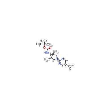 CC(C)(C)OC(=O)NC1[C@]2(C)CN(c3ncc(C4CC4)cn3)C[C@]12C